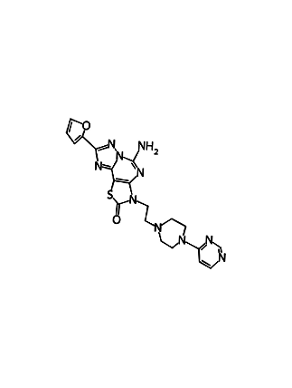 Nc1nc2c(sc(=O)n2CCN2CCN(c3ccncn3)CC2)c2nc(-c3ccco3)nn12